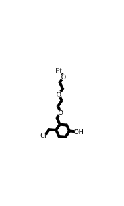 CCOCCOCCOCC1CC(O)CCC1CCl